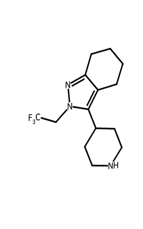 FC(F)(F)Cn1nc2c(c1C1CCNCC1)CCCC2